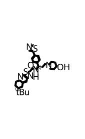 CC(C)(C)[C@H]1CCc2nc3sc(C(=O)N[C@H](CCN4CCC(O)CC4)c4ccc(-c5cncs5)cc4)nc3cc2C1